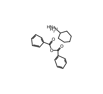 NC1CCCCC1.O=C(OC(=O)c1ccccc1)c1ccccc1.[NaH]